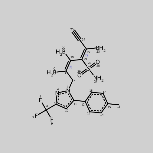 B/C(Cn1nc(C(F)(F)F)cc1-c1ccc(C)cc1)=C(B)/C(=C(/B)C#C)S(N)(=O)=O